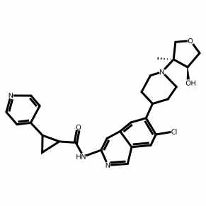 C[C@]1(N2CCC(c3cc4cc(NC(=O)C5CC5c5ccncc5)ncc4cc3Cl)CC2)COC[C@H]1O